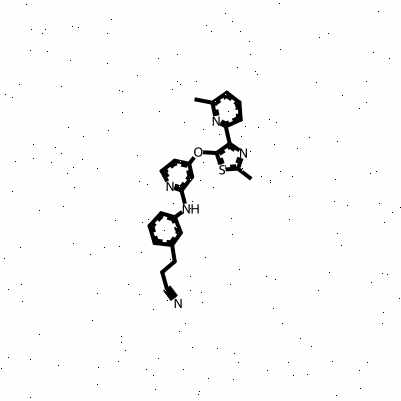 Cc1cccc(-c2nc(C)sc2Oc2ccnc(Nc3cccc(CCC#N)c3)c2)n1